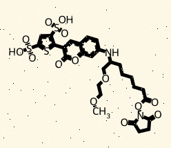 COCCOCC(CCCCCC(=O)ON1C(=O)CCC1=O)Nc1ccc2cc(-c3sc(S(=O)(=O)O)cc3S(=O)(=O)O)c(=O)oc2c1